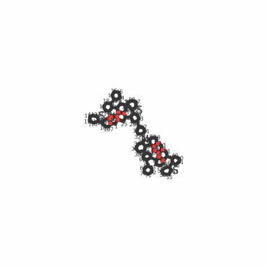 c1ccc(-c2ccccc2-c2c(-c3ccccc3)cccc2N(c2ccc(-c3cc(-c4ccc(-n5c6ccccc6c6c(N(c7ccc(-c8cccc9sc%10ccccc%10c89)cc7)c7cccc(-c8ccccc8)c7-c7ccccc7-c7ccccc7)cccc65)cc4)cc4sc5ccccc5c34)cc2)c2cccc3c2sc2ccccc23)cc1